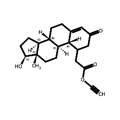 C#COC(=O)CC1CC(=O)C=C2CC[C@@H]3[C@H](CC[C@]4(C)[C@@H](O)CC[C@@H]34)[C@H]21